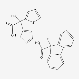 O=C(O)C(O)(c1cccs1)c1cccs1.O=C(O)C1(F)c2ccccc2-c2ccccc21